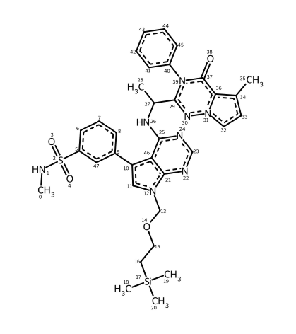 CNS(=O)(=O)c1cccc(-c2cn(COCC[Si](C)(C)C)c3ncnc(NC(C)c4nn5ccc(C)c5c(=O)n4-c4ccccc4)c23)c1